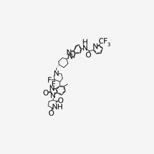 Cc1ccc2c(c1C1CCN(C[C@H]3CC[C@H](n4cc5cc(NC(=O)c6cccc(C(F)(F)F)n6)ccc5n4)CC3)CC1(F)F)n(C)c(=O)n2C1CCC(=O)NC1=O